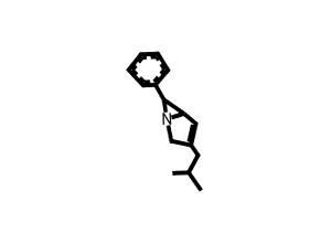 CC(C)CC1=CC2C(c3ccccc3)N2C1